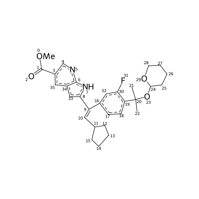 COC(=O)c1cnc2[nH]c(C(=CC3CCCC3)c3ccc(C(C)(C)OC4CCCCO4)c(F)c3)cc2c1